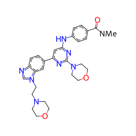 CNC(=O)c1ccc(Nc2cc(-c3ccc4ncn(CCN5CCOCC5)c4c3)nc(N3CCOCC3)n2)cc1